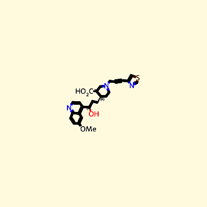 COc1ccc2nccc([C@H](O)CC[C@@H]3CCN(CC#Cc4cscn4)C[C@@H]3C(=O)O)c2c1